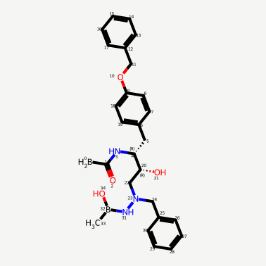 BC(=O)N[C@H](Cc1ccc(OCc2ccccc2)cc1)[C@H](O)CN(Cc1ccccc1)NB(C)O